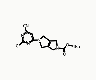 CC(C)(C)OC(=O)N1CC2=C(C1)CN(c1cc(C#N)nc(Cl)n1)C2